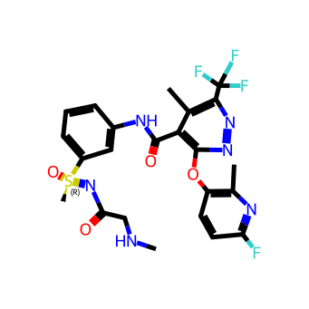 CNCC(=O)N=[S@](C)(=O)c1cccc(NC(=O)c2c(Oc3ccc(F)nc3C)nnc(C(F)(F)F)c2C)c1